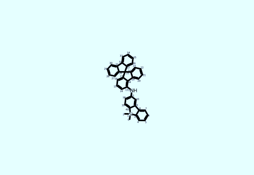 C[Si]1(C)c2ccccc2-c2cc(Nc3cccc4c3-c3ccccc3C43c4ccccc4-c4ccccc43)ccc21